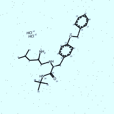 CC(C)CC(N)CN[C@@H](Cc1ccc(OCc2ccccc2)cc1)C(=O)NC(C)(C)C.Cl.Cl